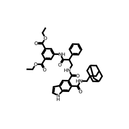 CCOC(=O)c1cc(NC(=O)C(CNC(=O)c2cc3cc[nH]c3cc2C(=O)NCC23CC4CC(CC(C4)C2)C3)c2ccccc2)cc(C(=O)OCC)c1